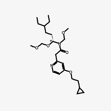 CCC(CC)CC[C@@H](OCOC)N(COC)C(=O)Cc1cc(OCCC2CC2)ccn1